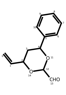 C=CC1CC(c2ccccc2)OC(C=O)O1